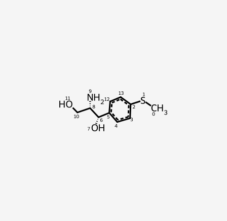 CSc1ccc([C@H](O)[C@@H](N)CO)cc1